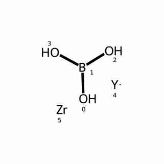 OB(O)O.[Y].[Zr]